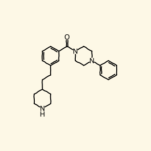 O=C(c1cccc(CCC2CCNCC2)c1)N1CCN(c2ccccc2)CC1